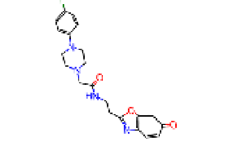 O=C1C=Cc2nc(CCNC(=O)CN3CCN(c4ccc(F)cc4)CC3)oc2C1